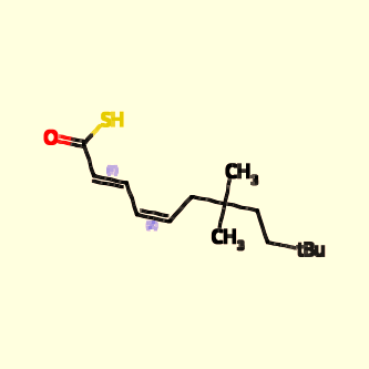 CC(C)(C)CCC(C)(C)C/C=C\C=C\C(=O)S